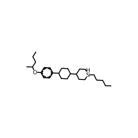 CCCCC[SiH]1CCC(C2CCC(c3ccc(OC(C)CCC)cc3)CC2)CC1